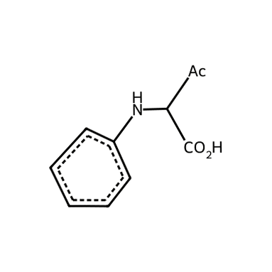 CC(=O)C(Nc1ccccc1)C(=O)O